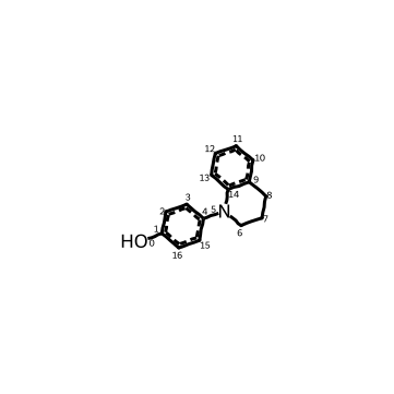 Oc1ccc(N2CCCc3ccccc32)cc1